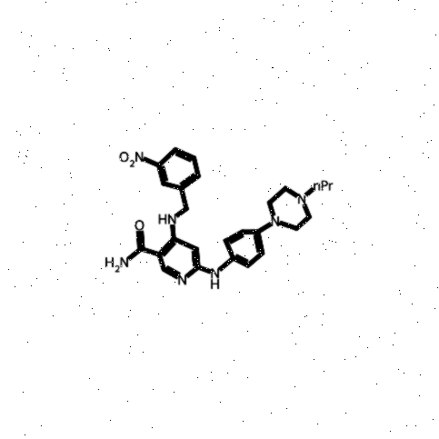 CCCN1CCN(c2ccc(Nc3cc(NCc4cccc([N+](=O)[O-])c4)c(C(N)=O)cn3)cc2)CC1